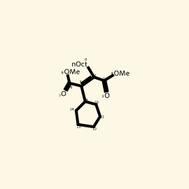 CCCCCCCCC(C(=O)OC)=C(C(=O)OC)C1CCCCC1